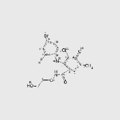 Cn1cc(C(=O)NOCCO)c(Nc2ccc(Br)cc2F)c(Cl)c1=O